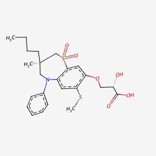 CCCC[C@]1(C)CN(c2ccccc2)c2cc(SC)c(OC[C@H](O)C(=O)O)cc2S(=O)(=O)C1